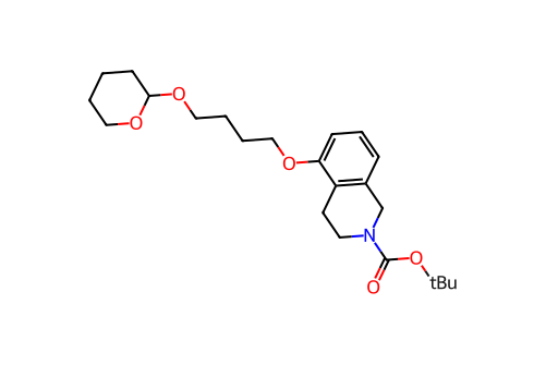 CC(C)(C)OC(=O)N1CCc2c(cccc2OCCCCOC2CCCCO2)C1